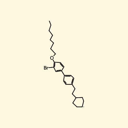 CCCCCCCCOc1ccc(-c2ccc(CCC3CC[CH]CC3)cc2)cc1Br